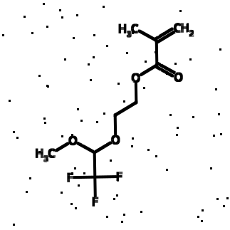 C=C(C)C(=O)OCCOC(OC)C(F)(F)F